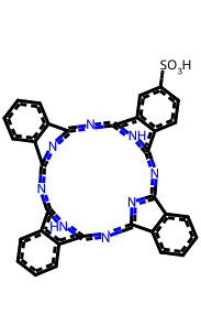 O=S(=O)(O)c1ccc2c3nc4nc(nc5[nH]c(nc6nc(nc([nH]3)c2c1)-c1ccccc1-6)c1ccccc51)-c1ccccc1-4